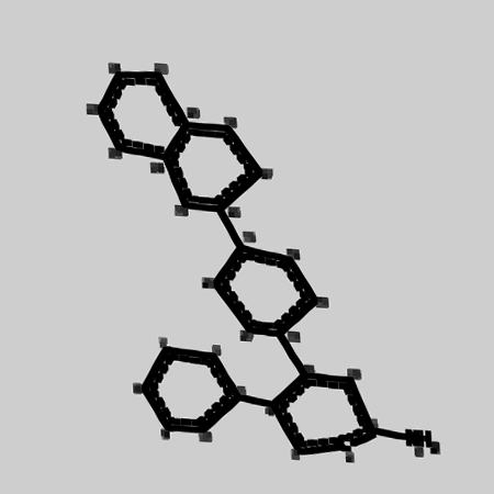 Nc1ccc(-c2ccccc2)c(-c2ccc(-c3ccc4ccccc4c3)cc2)c1